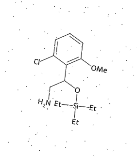 CC[Si](CC)(CC)OC(CN)c1c(Cl)cccc1OC